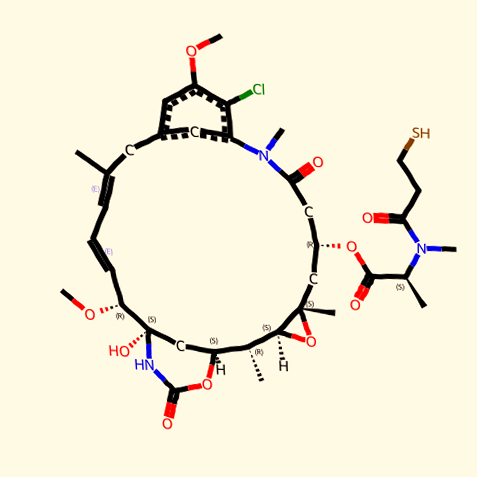 COc1cc2cc(c1Cl)N(C)C(=O)C[C@H](OC(=O)[C@H](C)N(C)C(=O)CCS)C[C@]1(C)O[C@H]1[C@H](C)[C@@H]1C[C@@](O)(NC(=O)O1)[C@H](OC)/C=C/C=C(\C)C2